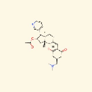 CC(=O)OC1C[C@H]2[C@@H]3OC4=C(C=C3CC[C@]2(C)[C@H]1c1cccnc1)C(=O)CC(CN(C)C)C4